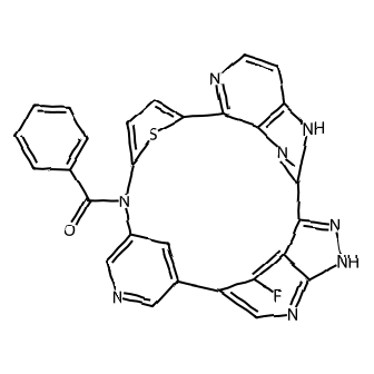 O=C(c1ccccc1)n1c2cncc(c2)c2cnc3[nH]nc(c4nc5c(ccnc5c5ccc1s5)[nH]4)c3c2F